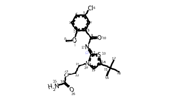 COc1ccc(Cl)cc1C(=O)/N=c1\sc(C(C)(C)C)cn1CCOC(N)=O